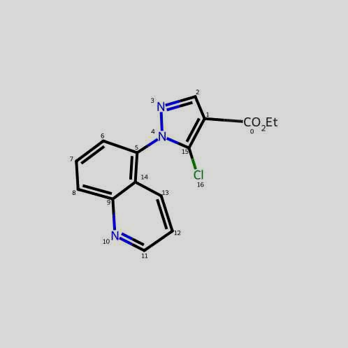 CCOC(=O)c1cnn(-c2cccc3ncccc23)c1Cl